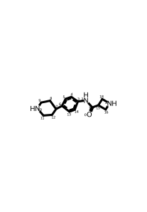 O=C(Nc1ccc(C2CCNCC2)cc1)C1CNC1